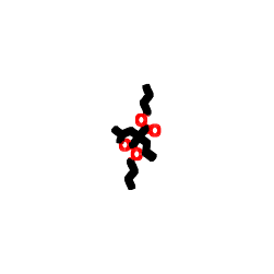 C=CCC(CC(C)C)(C(=O)OCCCC)C(=O)OCCCC